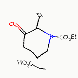 CC(=O)O.CCOC(=O)N1CCCC(=O)C1CC